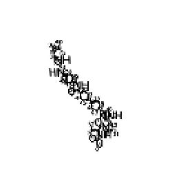 COC(=O)N[C@H](C(=O)N1C[C@@H](C)C[C@H]1c1nc(-c2ccc(-c3ccc(C(=O)Nc4ccc(NCCNC[C@H]5CC5(C)C)nc4)cc3)cc2)c[nH]1)C(C)C